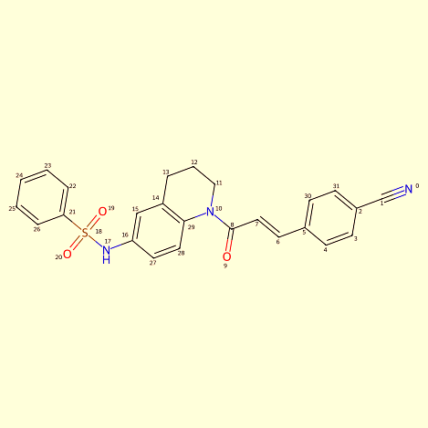 N#Cc1ccc(/C=C/C(=O)N2CCCc3cc(NS(=O)(=O)c4ccccc4)ccc32)cc1